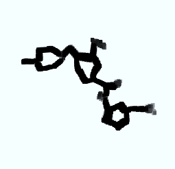 CNc1cc(C(=O)Nc2cccc(C(F)(F)F)c2)ccc1CN1CCN(C)CC1